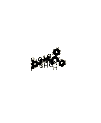 C[C@H](NC(=O)[C@@H](O)c1cc(F)cc(F)c1)C(=O)N[C@H]1C[C@H](c2ccccc2)C[C@H](c2ccccc2)NC1=O